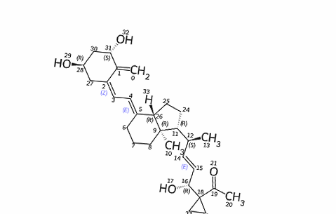 C=C1/C(=C\C=C2/CCC[C@]3(C)[C@@H]([C@@H](C)/C=C/[C@@H](O)C4(C(C)=O)CC4)CC[C@@H]23)C[C@@H](O)C[C@@H]1O